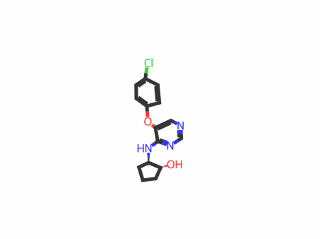 O[C@@H]1CCC[C@H]1Nc1ncncc1Oc1ccc(Cl)cc1